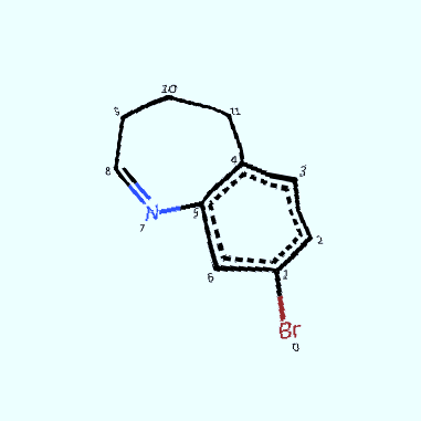 Brc1ccc2c(c1)N=CCCC2